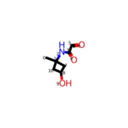 CC1(NC(=O)C=O)CC(O)C1